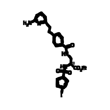 CCOC(=O)[C@H](CNC(=O)c1ccc(CCc2cccc(N)n2)cc1)NS(=O)(=O)c1ccc(I)cc1